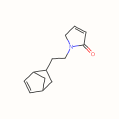 O=C1C=CCN1CCC1CC2C=CC1C2